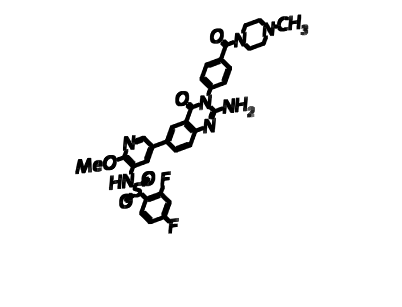 COc1ncc(-c2ccc3nc(N)n(-c4ccc(C(=O)N5CCN(C)CC5)cc4)c(=O)c3c2)cc1NS(=O)(=O)c1ccc(F)cc1F